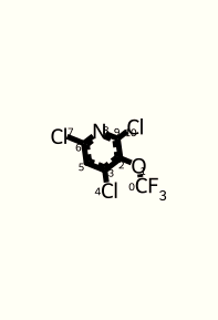 FC(F)(F)Oc1c(Cl)cc(Cl)nc1Cl